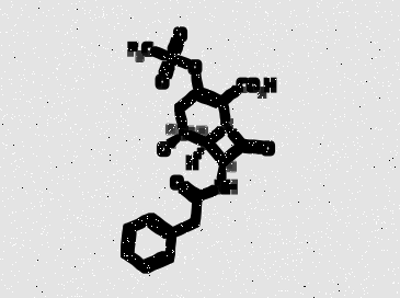 O=C(Cc1ccccc1)N[C@@H]1C(=O)N2C(C(=O)O)=C(OS(=O)(=O)C(F)(F)F)C[S@+]([O-])[C@H]12